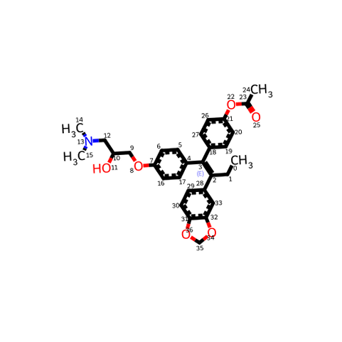 CC/C(=C(/c1ccc(OCC(O)CN(C)C)cc1)c1ccc(OC(C)=O)cc1)c1ccc2c(c1)OCO2